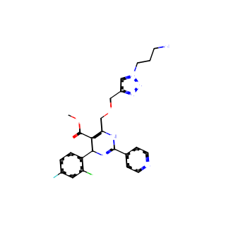 COC(=O)C1=C(COCc2cn(CCCN)nn2)NC(c2ccncc2)=NC1c1ccc(F)cc1Cl